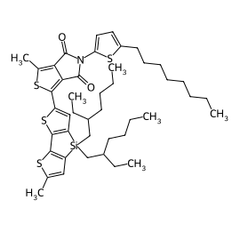 CCCCCCCCc1ccc(N2C(=O)c3c(C)sc(-c4cc5c(s4)-c4sc(C)cc4[Si]5(CC(CC)CCCC)CC(CC)CCCC)c3C2=O)s1